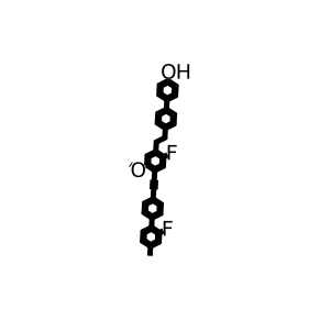 COc1cc(CCc2ccc(-c3ccc(O)cc3)cc2)c(F)cc1C#Cc1ccc(-c2ccc(C)cc2F)cc1